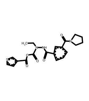 CCN(NC(=O)c1cccc(C(=O)N2CCCC2)c1)C(=O)OC(=O)c1ccsc1